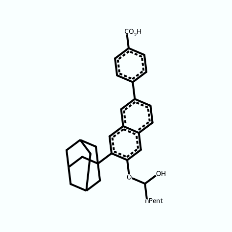 CCCCCC(O)Oc1cc2ccc(-c3ccc(C(=O)O)cc3)cc2cc1C12CC3CC(CC(C3)C1)C2